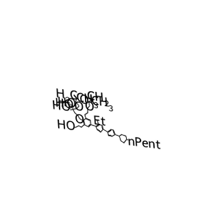 C=C(C)C(=O)OCCCc1cc(-c2ccc(-c3ccc(C4CCC(CCCCC)CC4)cc3)cc2CC)cc(CCCO)c1OCCC(CO)(CO)COC(O)C(=C)C